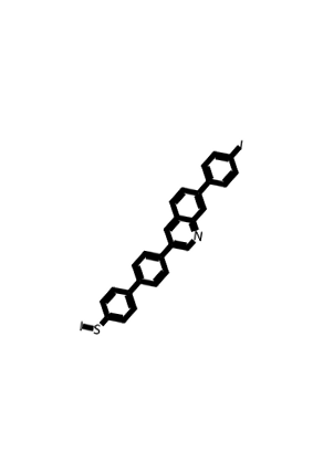 ISc1ccc(-c2ccc(-c3cnc4cc(-c5ccc(I)cc5)ccc4c3)cc2)cc1